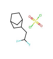 FC(F)CC1CC2CCC1C2.O=S(=O)(Cl)Cl